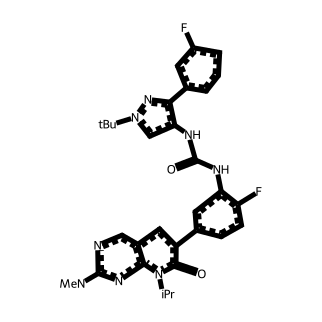 CNc1ncc2cc(-c3ccc(F)c(NC(=O)Nc4cn(C(C)(C)C)nc4-c4cccc(F)c4)c3)c(=O)n(C(C)C)c2n1